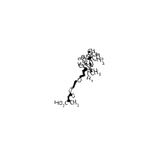 C=C(CC(=O)OCCOCCCC(C)(CC)[Si](C)(C)OC(C)(CC)[Si](C)(C)CCCC)C(=O)O